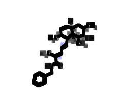 C/C(=C\C=C\[C@@H]1[C@H]2[C@H](C)[C@@H](O)[C@H](C)C[C@@H]2C=C[C@@H]1C)C(=O)NCc1ccccc1